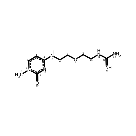 Cn1ccc(NCCOCCNC(=N)N)nc1=O